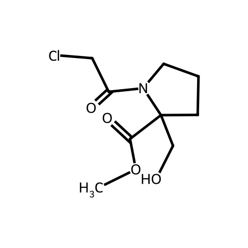 COC(=O)C1(CO)CCCN1C(=O)CCl